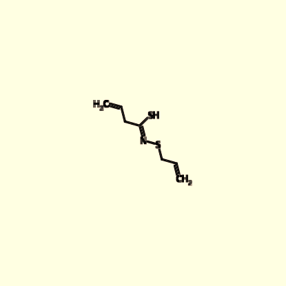 C=CCS/N=C(\S)CC=C